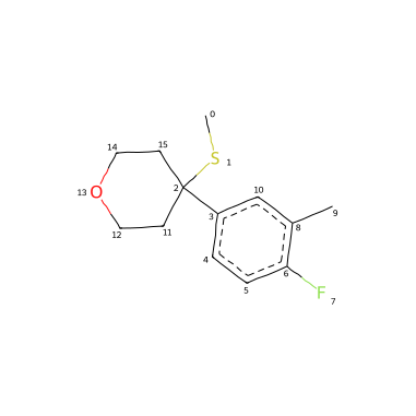 CSC1(c2ccc(F)c(C)c2)CCOCC1